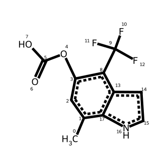 Cc1cc(OC(=O)O)c(C(F)(F)F)c2cc[nH]c12